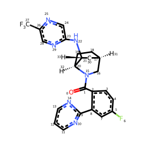 O=C(c1ccc(F)cc1-c1ncccn1)N1C[C@@H]2CC[C@H]1[C@H](Nc1cnc(C(F)(F)F)cn1)C2